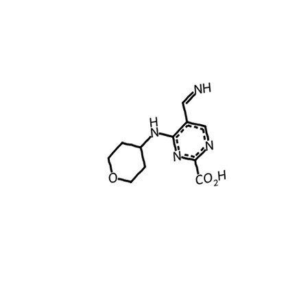 N=Cc1cnc(C(=O)O)nc1NC1CCOCC1